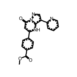 COC(=O)c1ccc(-c2cc(=O)n3ncc(-c4ccccn4)c3[nH]2)cc1